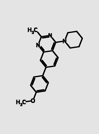 COc1ccc(-c2ccc3c(N4CCCCC4)nc(C)nc3c2)cc1